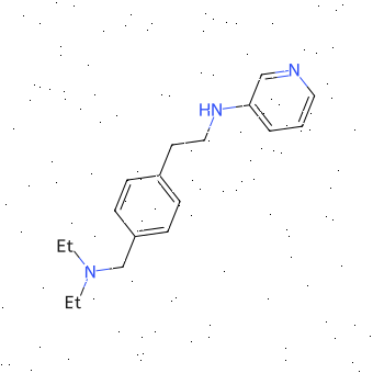 CCN(CC)Cc1ccc(CCNc2cccnc2)cc1